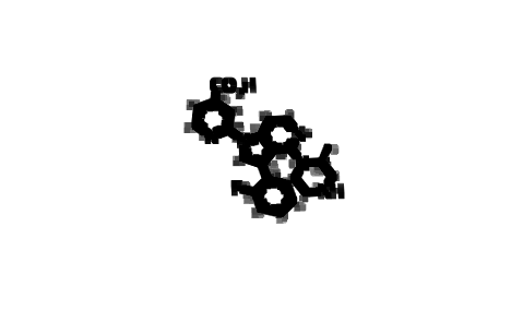 C[C@H]1CNCCN1c1nccc2c1c(-c1ccccc1F)cn2-c1cc(C(=O)O)ccn1